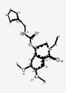 CCn1cc(OC(=O)NCC2CCCC2)c2cc(OC)c(OC)cc2c1=O